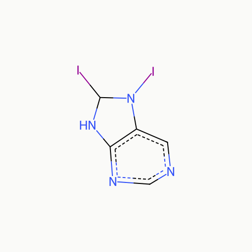 IC1Nc2ncncc2N1I